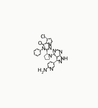 Nc1ccc(-c2n[nH]c3ncnc(N4CCC[C@H]4c4nn5ccc(Cl)c5c(=O)n4-c4ccccc4)c23)cn1